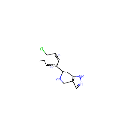 CC/C=C(\C=C/CCl)C1Cc2[nH]ncc2CN1